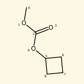 COC(=O)OC1CCC1